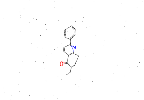 CCC1CCc2nc(-c3ccccc3)ccc2C1=O